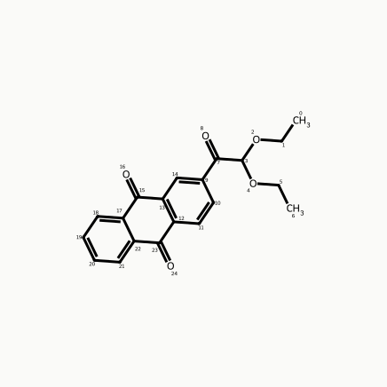 CCOC(OCC)C(=O)c1ccc2c(c1)C(=O)c1ccccc1C2=O